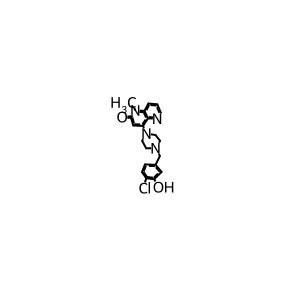 Cn1c(=O)cc(N2CCN(Cc3ccc(Cl)c(O)c3)CC2)c2ncccc21